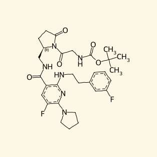 CC(C)(C)OC(=O)NCC(=O)N1C(=O)CC[C@@H]1CNC(=O)c1cc(F)c(N2CCCC2)nc1NCCc1cccc(F)c1